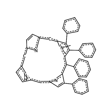 Cn1c2cc3nc(cc4ccc(cc5nc(c(-c6ccccc6)c1c(-c1ccccc1)c2-c1ccccc1)C(c1ccccc1)=C5)[nH]4)C=C3